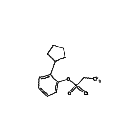 O=S(=O)(CC(F)(F)F)Oc1ccccc1C1CCCC1